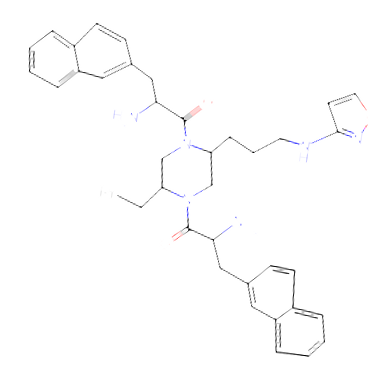 CC(C)CC1CN(C(=O)C(N)Cc2ccc3ccccc3c2)C(CCCNc2ccon2)CN1C(=O)C(N)Cc1ccc2ccccc2c1